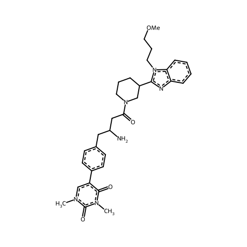 COCCCn1c(C2CCCN(C(=O)CC(N)Cc3ccc(-c4cn(C)c(=O)n(C)c4=O)cc3)C2)nc2ccccc21